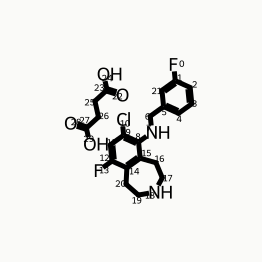 Fc1cccc(CNc2c(Cl)cc(F)c3c2CCNCC3)c1.O=C(O)CCC(=O)O